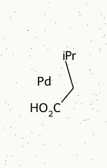 CC(C)CC(=O)O.[Pd]